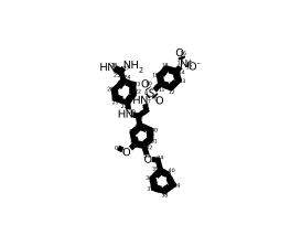 COc1cc(C(CNS(=O)(=O)c2ccc([N+](=O)[O-])cc2)Nc2ccc(C(=N)N)cc2)ccc1OCc1ccccc1